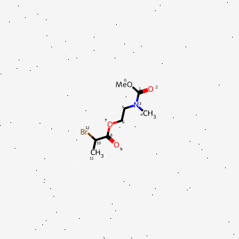 COC(=O)N(C)CCOC(=O)C(C)Br